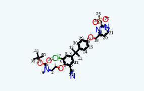 CN(CCOc1c(Cl)cc(C(C)(C)c2ccc(OCc3ccnc(S(C)(=O)=O)n3)cc2)cc1C#N)C(=O)OC(C)(C)C